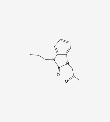 CCCn1c(=O)n(CC(C)=O)c2ccccc21